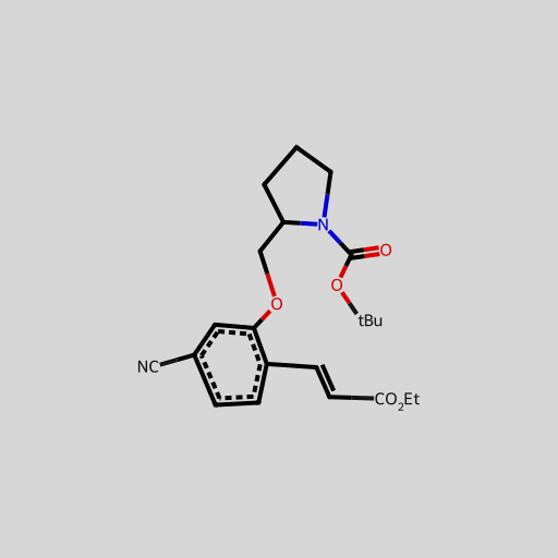 CCOC(=O)C=Cc1ccc(C#N)cc1OCC1CCCN1C(=O)OC(C)(C)C